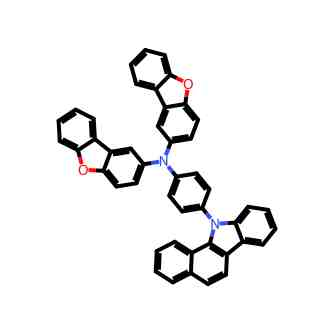 c1ccc2c(c1)ccc1c3ccccc3n(-c3ccc(N(c4ccc5oc6ccccc6c5c4)c4ccc5oc6ccccc6c5c4)cc3)c21